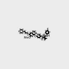 COc1nc2c(Oc3ccc(NC(=O)C4(C(=O)Nc5ccc(F)cc5)CC4)cn3)ncnc2cc1OCCCN1CCOCC1